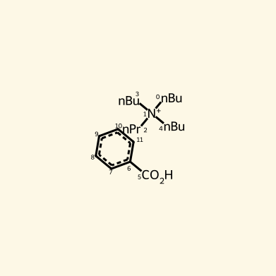 CCCC[N+](CCC)(CCCC)CCCC.O=C(O)c1ccccc1